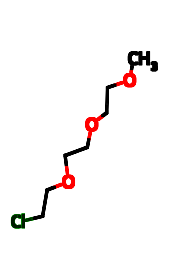 COCCOCCOCCCl